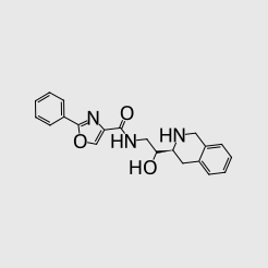 O=C(NCC(O)[C@@H]1Cc2ccccc2CN1)c1coc(-c2ccccc2)n1